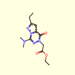 CCOC(=O)Cn1nc(N(C)C)n2nc(CC)cc2c1=O